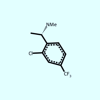 CN[C@@H](C)c1ccc(C(F)(F)F)cc1Cl